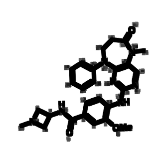 COc1cc(C(=O)NC2CN(C)C2)ccc1Nc1ncc2c(n1)N(c1ccccc1)CCC(=O)N2C